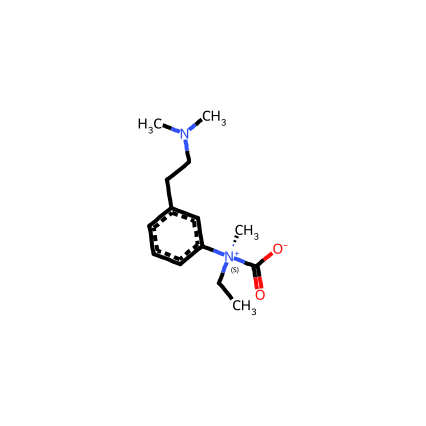 CC[N@+](C)(C(=O)[O-])c1cccc(CCN(C)C)c1